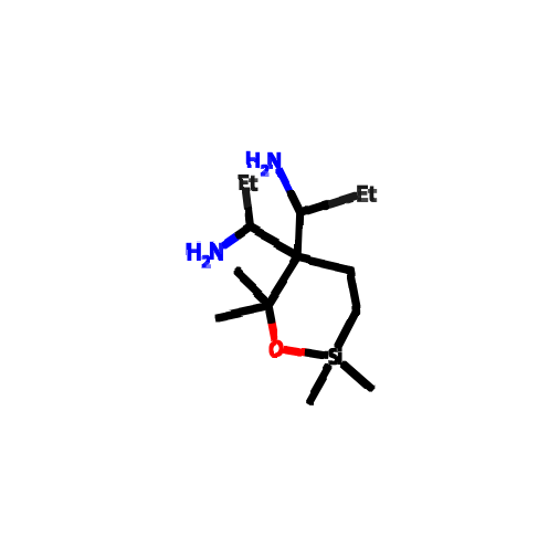 CCC(N)C1(C(N)CC)CC[Si](C)(C)OC1(C)C